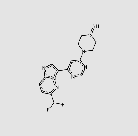 N=S1CCN(c2cc(-c3cnc4ccc(C(F)F)nn34)ncn2)CC1